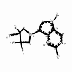 CC(C)n1cc(N2CC(F)(F)C(F)(F)C2)c2nc(Cl)ncc21